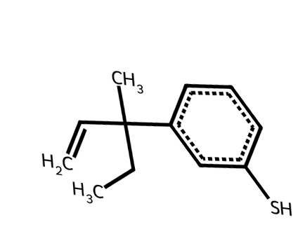 C=CC(C)(CC)c1cccc(S)c1